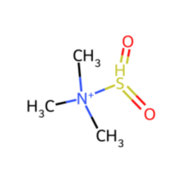 C[N+](C)(C)[SH](=O)=O